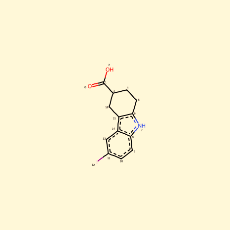 O=C(O)C1CCc2[nH]c3ccc(I)cc3c2C1